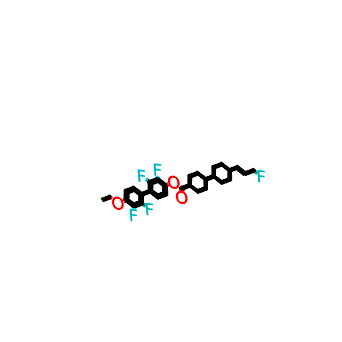 CCOc1ccc(-c2ccc(OC(=O)C3CCC(C4CCC(/C=C/CF)CC4)CC3)c(F)c2F)c(F)c1F